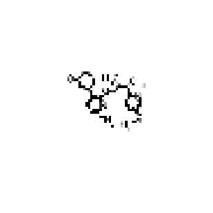 COc1ccc([C@@H](C)[C@H](C)COc2nc(C)ncc2C2CCCC(=O)C2)nc1